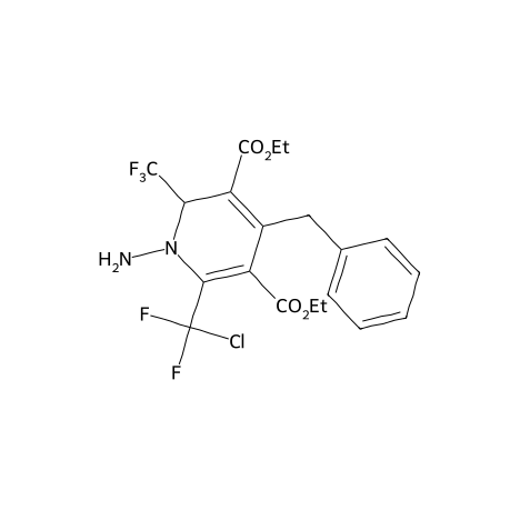 CCOC(=O)C1=C(C(F)(F)Cl)N(N)C(C(F)(F)F)C(C(=O)OCC)=C1Cc1ccccc1